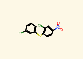 O=[N+]([O-])c1ccc(Sc2cccc(Cl)c2)c(Cl)c1